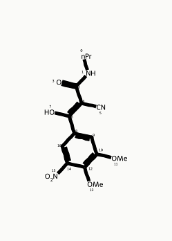 CCCNC(=O)/C(C#N)=C(\O)c1cc(OC)c(OC)c([N+](=O)[O-])c1